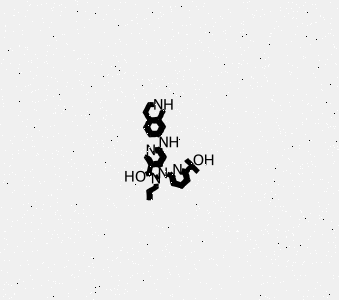 C=CCN1C(O)c2cnc(Nc3ccc4c(c3)CNCC4)cc2N1c1cccc(C(C)(C)O)n1